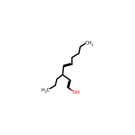 CCCC/C=C/C(/C=C/O)CCC